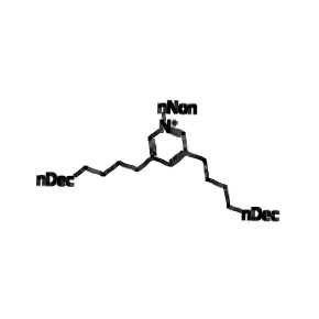 CCCCCCCCCCCCCCc1cc(CCCCCCCCCCCCCC)c[n+](CCCCCCCCC)c1